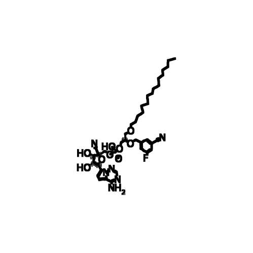 CCCCCCCCCCCCCCCCOC[C@H](COP(=O)(O)OC[C@@]1(C#N)O[C@@H](c2ccc3c(N)ncnn23)[C@H](O)[C@@H]1O)OCc1cc(F)cc(C#N)c1